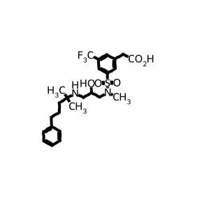 CN(CC(O)CNC(C)(C)CCCc1ccccc1)S(=O)(=O)c1cc(CC(=O)O)cc(C(F)(F)F)c1